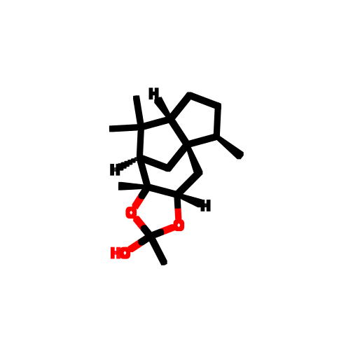 C[C@@H]1CC[C@H]2C(C)(C)[C@H]3C[C@@]12C[C@@H]1OC(C)(O)O[C@@]13C